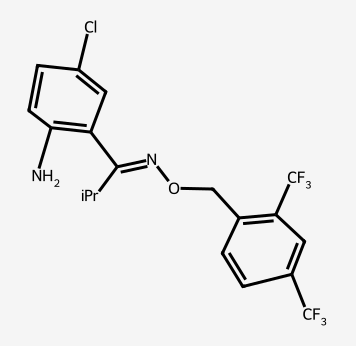 CC(C)/C(=N\OCc1ccc(C(F)(F)F)cc1C(F)(F)F)c1cc(Cl)ccc1N